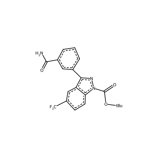 CC(C)(C)OC(=O)n1nc(-c2cccc(C(N)=O)c2)c2cc(C(F)(F)F)ccc21